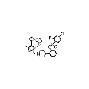 Cc1nc(CN2CCC(c3cccc4c3O[C@@](C)(c3ccc(Cl)cc3F)O4)CC2)n(C[C@@H]2CCO2)c1C12CC(C1)C2